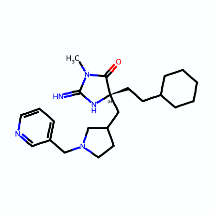 CN1C(=N)N[C@@](CCC2CCCCC2)(CC2CCN(Cc3cccnc3)C2)C1=O